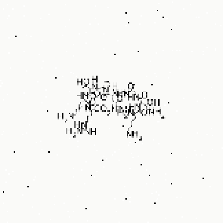 C[C@H](NC(=O)[C@@H](NC(=O)C(N)CCCCN)[C@@H](O)CN)C(=O)NCC(=O)N[C@H](CCCN)C(=O)N1CCC[C@H]1C(=O)N[C@H](C(=O)N[C@@H](CCCCN)C(=O)N/C(=C\CCNC(=N)N)C(=O)O)[C@@H](C)O